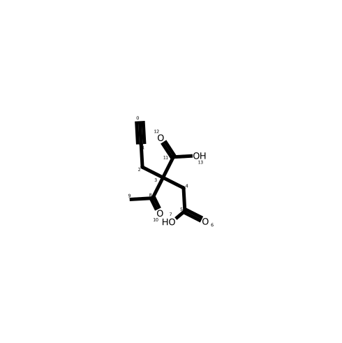 C#CCC(CC(=O)O)(C(C)=O)C(=O)O